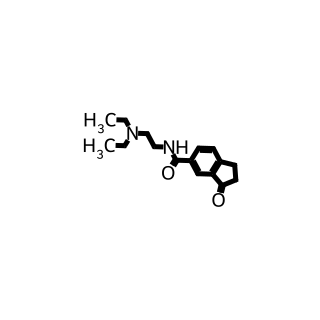 CCN(CC)CCNC(=O)c1ccc2c(c1)C(=O)CC2